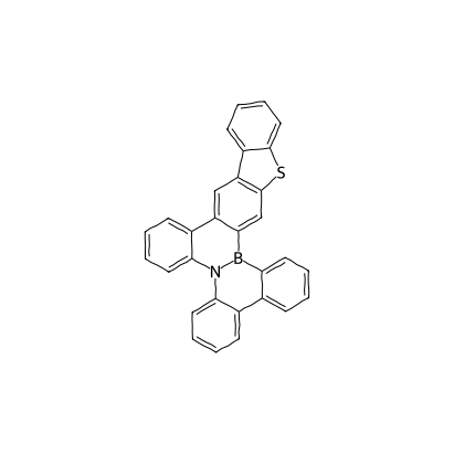 c1ccc2c(c1)B1c3cc4sc5ccccc5c4cc3-c3ccccc3N1c1ccccc1-2